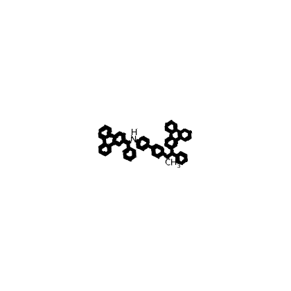 CC(c1ccc(-c2ccc(NC(c3ccccc3)c3ccc4c5ccccc5c5ccccc5c4c3)cc2)cc1)C(c1ccccc1)c1ccc2c(c1)c1c(c3ccccc32)CCC=C1